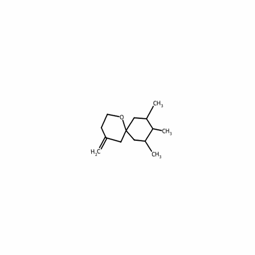 C=C1CCOC2(C1)CC(C)C(C)C(C)C2